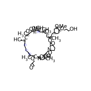 C#C[C@@H]1/C=C/C=C/C=C(\C)C(OCC2COC2)C[C@@H]2CC[C@@H](C)[C@@](O)(O2)C(=O)C(=O)N2CCCCC2C(=O)O[C@H]([C@H](C)C[C@@H]2CC[C@@H](OCCCO)[C@H](OC)C2)CC(=O)[C@H](C)/C=C(\C)[C@@H](O)[C@@H](OC)C(=O)[C@H](C)C1